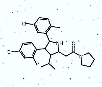 Cc1ccc(Cl)cc1C1NC(CC(=O)N2CCCC2)C(C(C)C)C1c1ccc(Cl)cc1C